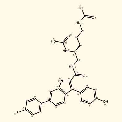 O=C(O)NCCC[C@@H](CNC(=O)c1[nH]c2cc(-c3ccc(F)cc3)ccc2c1-c1ccc(O)cc1)NC(=O)O